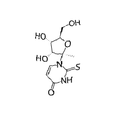 C[C@@]1(n2ccc(=O)[nH]c2=S)O[C@H](CO)[C@@H](O)[C@H]1O